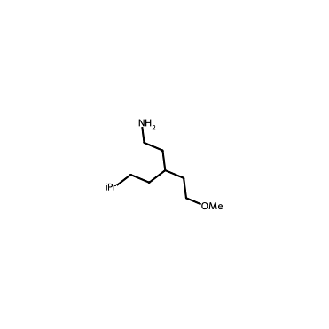 COCCC(CCN)CCC(C)C